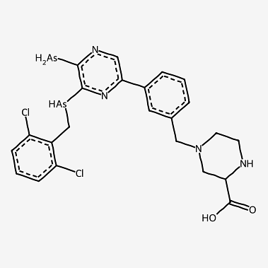 O=C(O)C1CN(Cc2cccc(-c3cnc([AsH2])c([AsH]Cc4c(Cl)cccc4Cl)n3)c2)CCN1